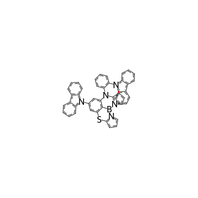 c1ccc(-n2c3ccccc3c3ccccc32)c(N2c3cc(-n4c5ccccc5c5ccccc54)cc4c3B(n3cccc3S4)n3cccc32)c1